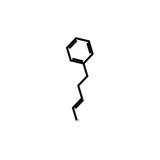 [CH]C=CCCc1ccccc1